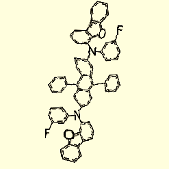 Fc1cccc(N(c2ccc3c(-c4ccccc4)c4cc(N(c5cccc(F)c5)c5cccc6c5oc5ccccc56)ccc4c(-c4ccccc4)c3c2)c2cccc3c2oc2ccccc23)c1